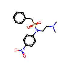 CN(C)CCN(c1ccc([N+](=O)[O-])cc1)S(=O)(=O)Cc1ccccc1